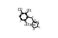 CCc1ccc(Cl)c(CC)c1CC1=NCCN1